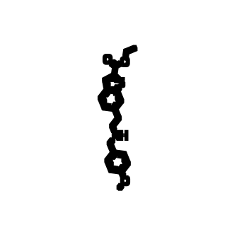 CCOC(=O)c1cc2ccc(CCNCc3ccc(OC)cc3)cc2s1